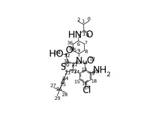 CC(C)C(=O)NC1CCC(N(C(=O)c2ccc(Cl)cc2N)c2cc(C#CC(C)(C)C)sc2C(=O)O)CC1